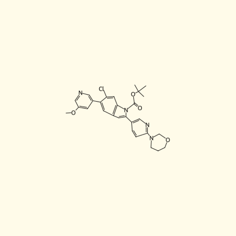 COc1cncc(-c2cc3cc(-c4ccc(N5CCCOC5)nc4)n(C(=O)OC(C)(C)C)c3cc2Cl)c1